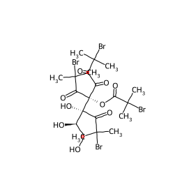 CC(C)(Br)C(=O)O[C@@](C(=O)C(=O)C(C)(C)Br)(C(=O)C(C)(C)Br)[C@@](O)(C(=O)C(C)(C)Br)[C@H](O)CO